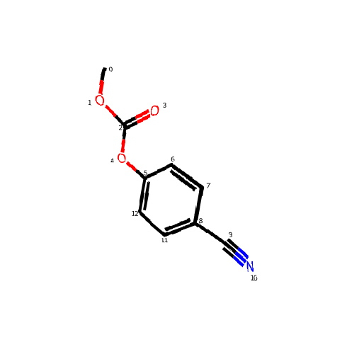 COC(=O)Oc1ccc(C#N)cc1